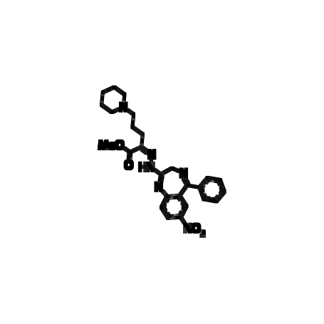 COC(=O)C(CCCN1CCCCC1)=NNC1=Nc2ccc([N+](=O)[O-])cc2C(c2ccccc2)=NC1